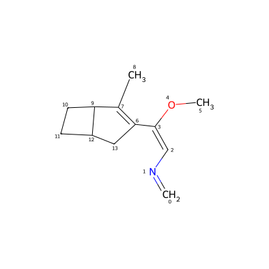 C=N/C=C(/OC)C1=C(C)C2CCC2C1